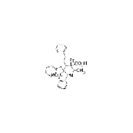 CCC1(C(=O)O)C(C)N=C(c2ccccc2)C(Cc2ccccc2)(C(=O)O)C1CCc1ccccc1